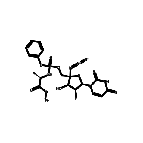 CC(C)OC(=O)[C@H](C)NP(=O)(OC[C@@]1(N=[N+]=[N-])O[C@@H](n2ccc(=S)[nH]c2=S)[C@@H](F)C1O)Oc1ccccc1